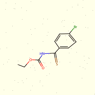 CCOC(=O)NC(=S)c1ccc(Br)cc1